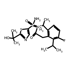 CC(C)c1ccc(F)c(C(C)C)c1CC(=O)N=S(N)(=O)c1cnc(C(C)(C)O)s1